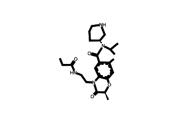 CCC(=O)NCCN1C(=O)[C@H](C)Oc2cc(C)c(C(=O)N(C(C)C)[C@@H]3CCCNC3)cc21